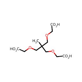 CC(COCC(=O)O)(COCC(=O)O)COCC(=O)O